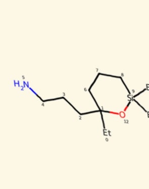 CCC1(CCCN)CCC[Si](CC)(CC)O1